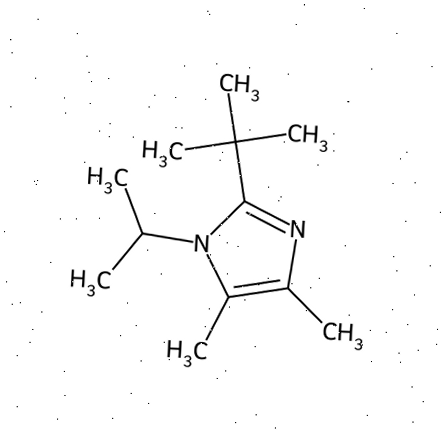 Cc1nc(C(C)(C)C)n(C(C)C)c1C